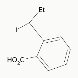 CCC(I)c1ccccc1C(=O)O